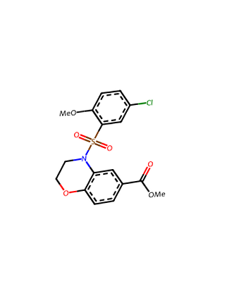 COC(=O)c1ccc2c(c1)N(S(=O)(=O)c1cc(Cl)ccc1OC)CCO2